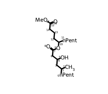 CCCCCC(C)CC(O)CC(=O)OC(CCCCC)CCCC(=O)OC